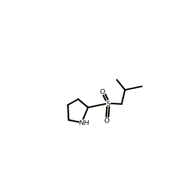 CC(C)CS(=O)(=O)C1CCCN1